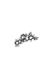 Fc1cc(Br)cc(COCC2(N3CCNCC3)Cc3ccccc3C2)c1